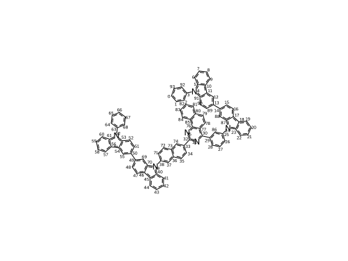 c1ccc(-n2c3ccccc3c3cc(-c4ccc5c6ccccc6n(-c6cccc(-c7nc(-c8ccc9cc(-n%10c%11ccccc%11c%11ccc(-c%12ccc%13c(c%12)c%12ccccc%12n%13-c%12ccccc%12)cc%11%10)ccc9c8)nc8c7ccc7ccccc78)c6)c5c4)ccc32)cc1